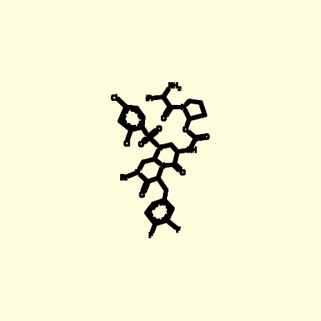 CCN1CC2N(C(=O)C(NC(=O)OC3CCCN3C(=O)C(N)C(C)C)CN2S(=O)(=O)c2ccc(Cl)cc2Cl)C(Cc2ccc(F)c(F)c2)C1=O